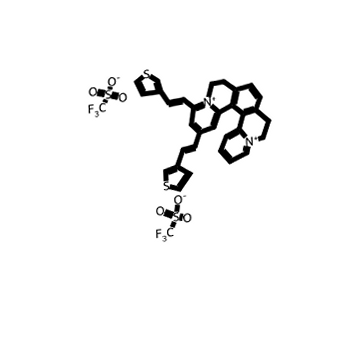 C(=C\c1cc(/C=C/c2ccsc2)[n+]2c(c1)-c1c(ccc3c1-c1cccc[n+]1CC3)CC2)/c1ccsc1.O=S(=O)([O-])C(F)(F)F.O=S(=O)([O-])C(F)(F)F